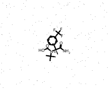 CC(C)(C)N(C(=O)O)[C@@](C)(C(N)=O)c1cccc(C(F)(F)F)c1